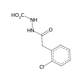 O=C(O)NNC(=O)Cc1ccccc1Cl